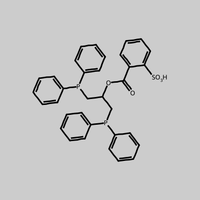 O=C(OC(CP(c1ccccc1)c1ccccc1)CP(c1ccccc1)c1ccccc1)c1ccccc1S(=O)(=O)O